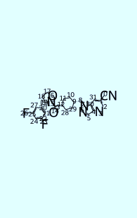 N#Cc1cnc2cnn(C[C@H]3CC[C@H](C(=O)N4OCC[C@H]4c4cc(F)cc(F)c4)CC3)c2c1